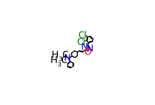 CN(C)C(c1ccccc1)C1CCC(C=Cc2nc(-c3cccc(Cl)c3Cl)no2)CC1